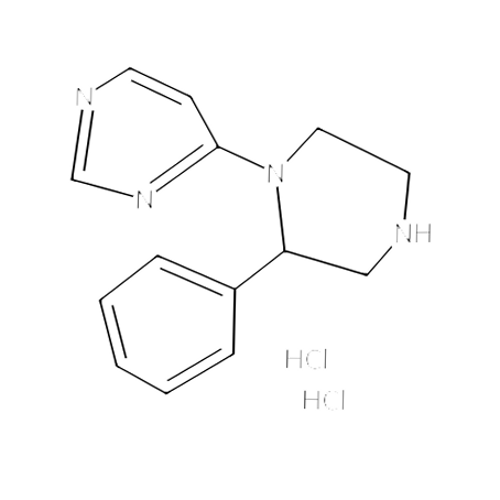 Cl.Cl.c1ccc(C2CNCCN2c2ccncn2)cc1